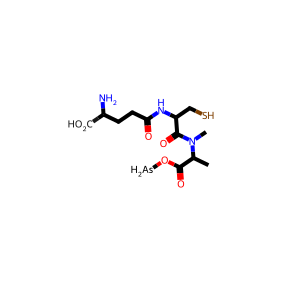 CC(C(=O)O[AsH2])N(C)C(=O)C(CS)NC(=O)CCC(N)C(=O)O